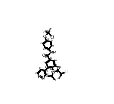 CC(C)n1c(C(F)F)nc2cc(C(=O)Nc3ccc(OC(F)(F)Cl)cc3)cc(-c3ccnnc3)c21